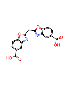 O=C(O)c1ccc2oc(Cc3nc4cc(C(=O)O)ccc4o3)nc2c1